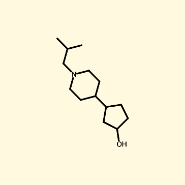 CC(C)CN1CCC(C2CCC(O)C2)CC1